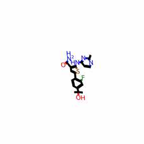 Cc1nccc(Nc2sc(-c3ccc(C(C)(C)O)cc3F)cc2C(N)=O)n1